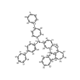 c1ccc(-c2ccc(N(c3ccc(-c4ccccc4)cc3)c3ccc4c(c3)-n3c5ccccc5c5cccc(c53)O4)cc2)cc1